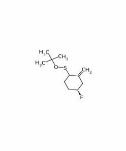 C=C1C[C@@H](F)CCC1SOC(C)(C)C